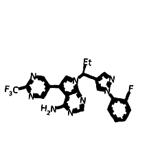 CC[C@@H](c1cnn(-c2ccccc2F)c1)n1cc(-c2cnc(C(F)(F)F)nc2)c2c(N)ncnc21